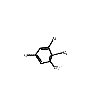 O=C(O)c1cc(Cl)cc(Cl)c1[N+](=O)[O-]